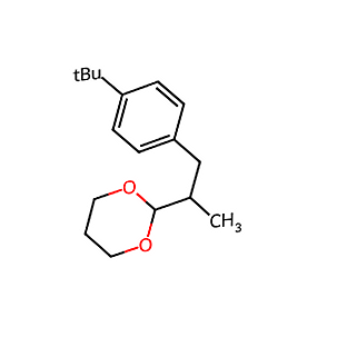 CC(Cc1ccc(C(C)(C)C)cc1)C1OCCCO1